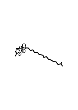 CC(C)CCCCCCCCCCCCCCC(=O)[O][Ti](=[O])([O]C(C)C)([CH](C)C)[CH](C)C